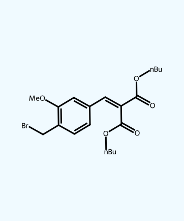 CCCCOC(=O)C(=Cc1ccc(CBr)c(OC)c1)C(=O)OCCCC